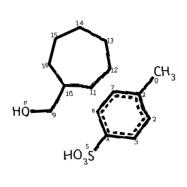 Cc1ccc(S(=O)(=O)O)cc1.OCC1CCCCCC1